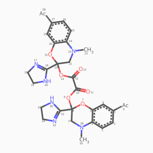 CC(=O)c1ccc2c(c1)OC(OC(=O)C(=O)OC1(C3=NCCN3)CN(C)c3ccc(C(C)=O)cc3O1)(C1=NCCN1)CN2C